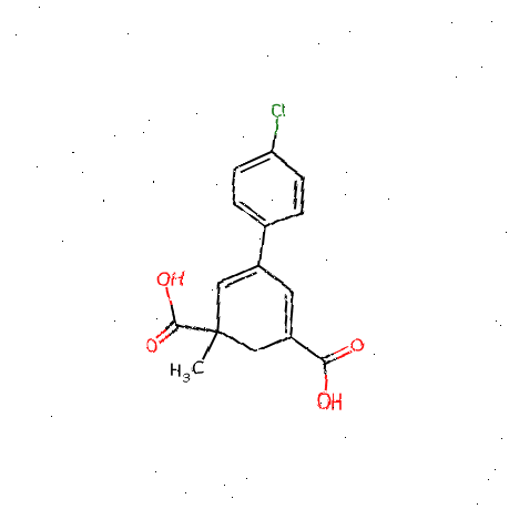 CC1(C(=O)O)C=C(c2ccc(Cl)cc2)C=C(C(=O)O)C1